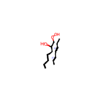 C/C=C/C=C/CC.CCCCCC(O)COO